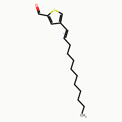 CCCCCCCCCC/C=C/c1csc(C=O)c1